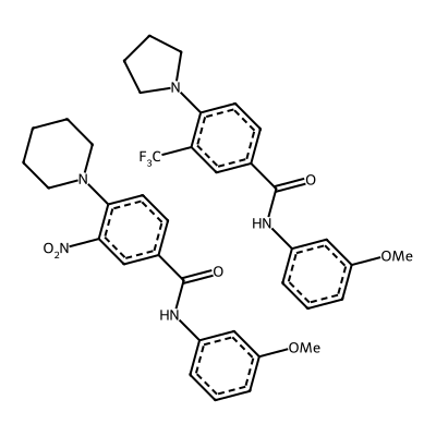 COc1cccc(NC(=O)c2ccc(N3CCCC3)c(C(F)(F)F)c2)c1.COc1cccc(NC(=O)c2ccc(N3CCCCC3)c([N+](=O)[O-])c2)c1